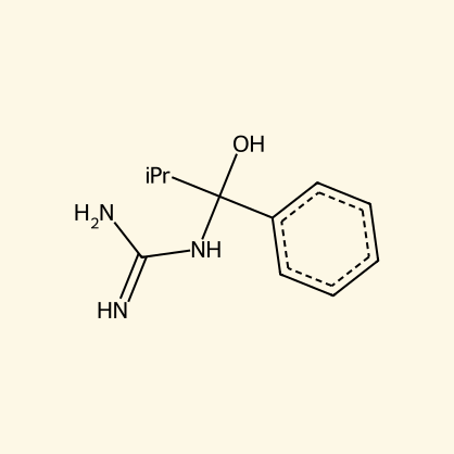 CC(C)C(O)(NC(=N)N)c1ccccc1